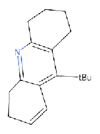 CC(C)(C)c1c2c(nc3c1CCCC3)CCC=C2